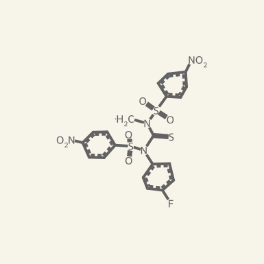 [CH2]N(C(=S)N(c1ccc(F)cc1)S(=O)(=O)c1ccc([N+](=O)[O-])cc1)S(=O)(=O)c1ccc([N+](=O)[O-])cc1